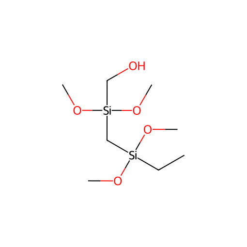 CC[Si](C[Si](CO)(OC)OC)(OC)OC